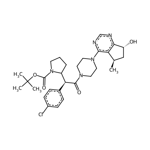 C[C@@H]1C[C@@H](O)c2ncnc(N3CCN(C(=O)[C@@H](c4ccc(Cl)cc4)C4CCCN4C(=O)OC(C)(C)C)CC3)c21